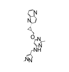 Cc1nc(NCc2cnn(C)c2)cc(OC[C@H]2C[C@@H]2c2ccc3ncccc3n2)n1